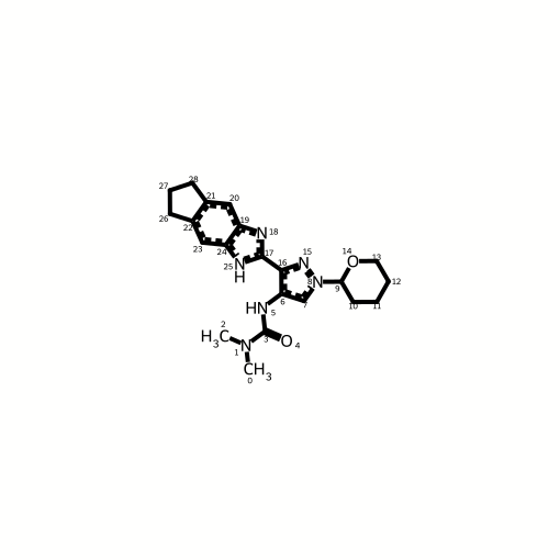 CN(C)C(=O)Nc1cn(C2CCCCO2)nc1-c1nc2cc3c(cc2[nH]1)CCC3